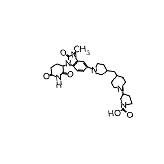 Cn1c(=O)n(C2CCC(=O)NC2=O)c2ccc(N3CCC(CC4CCN([C@@H]5CCN(C(=O)O)C5)CC4)CC3)cc21